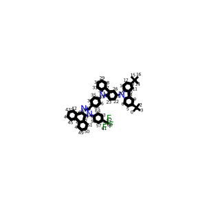 CC(C)(C)c1ccc2c(c1)c1cc(C(C)(C)C)ccc1n2-c1ccc2c(c1)c1ccccc1n2-c1ccc(-c2nc3c4ccccc4c4ccccc4c3n2-c2ccc(C(F)(F)F)cc2)cc1